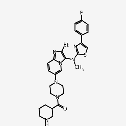 CCc1nc2ccc(N3CCN(C(=O)C4CCCNC4)CC3)cn2c1N(C)c1nc(-c2ccc(F)cc2)cs1